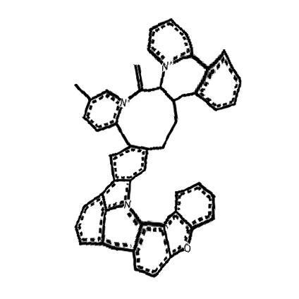 C=C1C2C(CCc3cc4c(cc3-c3ccc(C)c[n+]31)c1cccc3c5ccc6oc7ccccc7c6c5n4c13)c1ccccc1-c1cccc[n+]12